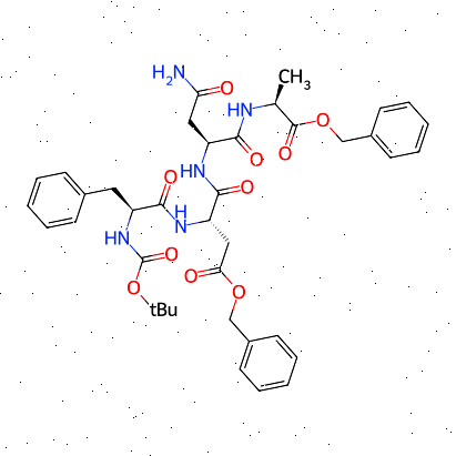 C[C@H](NC(=O)[C@H](CC(N)=O)NC(=O)[C@H](CC(=O)OCc1ccccc1)NC(=O)[C@H](Cc1ccccc1)NC(=O)OC(C)(C)C)C(=O)OCc1ccccc1